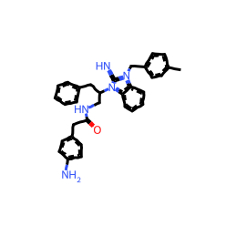 Cc1ccc(Cn2c(=N)n(C(CNC(=O)Cc3ccc(N)cc3)Cc3ccccc3)c3ccccc32)cc1